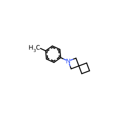 Cc1ccc(N2CC3(CCC3)C2)cc1